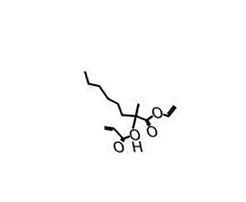 C=CC(=O)O.C=COC(=O)C(C)(C)CCCCCC